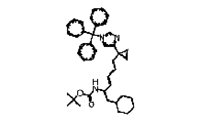 CC(C)(C)OC(=O)NC(C=CCCC1(c2cn(C(c3ccccc3)(c3ccccc3)c3ccccc3)cn2)CC1)CC1CCCCC1